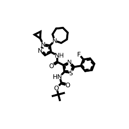 CC(C)(C)OC(=O)Nc1sc(-c2ccccc2F)nc1C(=O)Nc1cnn(C2CC2)c1N1CCCCCC1